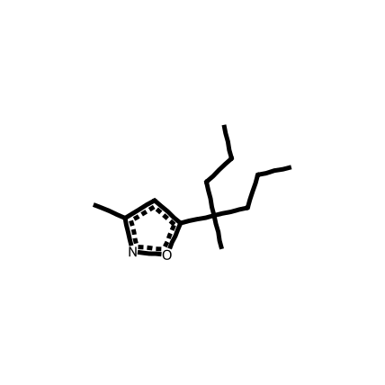 CCCC(C)(CCC)c1cc(C)no1